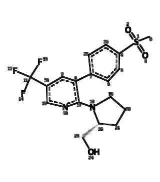 CS(=O)(=O)c1ccc(-c2cc(C(F)(F)F)cnc2N2CCC[C@@H]2CO)cc1